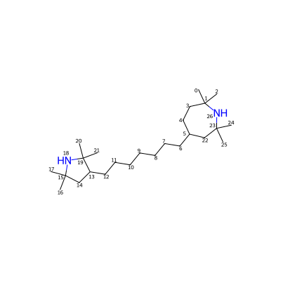 CC1(C)CCC(CCCCCCCC2CC(C)(C)NC2(C)C)CC(C)(C)N1